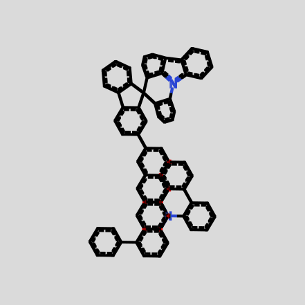 c1ccc(-c2cccc(N(c3ccc4cc(-c5ccc6c(c5)C5(c7ccccc7-6)c6ccccc6-n6c7ccccc7c7cccc5c76)ccc4c3)c3ccccc3-c3ccccc3-c3ccccc3)c2)cc1